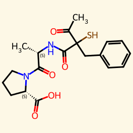 CC(=O)C(S)(Cc1ccccc1)C(=O)N[C@@H](C)C(=O)N1CCC[C@H]1C(=O)O